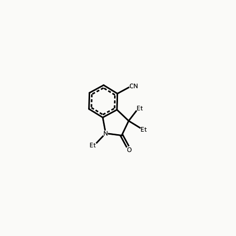 CCN1C(=O)C(CC)(CC)c2c(C#N)cccc21